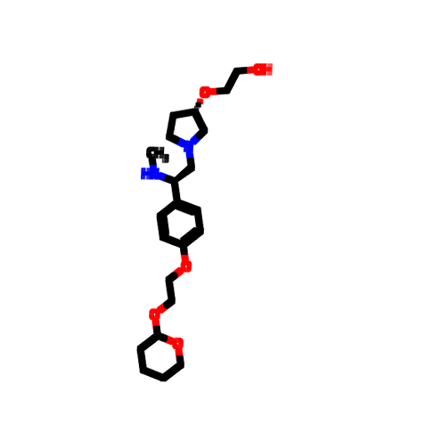 CN[C@@H](CN1CC[C@H](OCCO)C1)c1ccc(OCCOC2CCCCO2)cc1